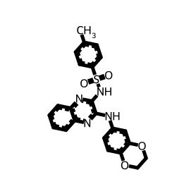 Cc1ccc(S(=O)(=O)Nc2nc3ccccc3nc2Nc2ccc3c(c2)OCCO3)cc1